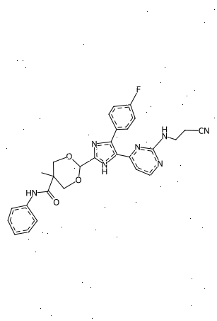 CC1(C(=O)Nc2ccccc2)COC(c2nc(-c3ccc(F)cc3)c(-c3ccnc(NCCC#N)n3)[nH]2)OC1